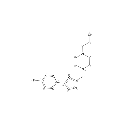 OCCN1CCN(Cc2ncc(-c3ccc(F)cc3)o2)CC1